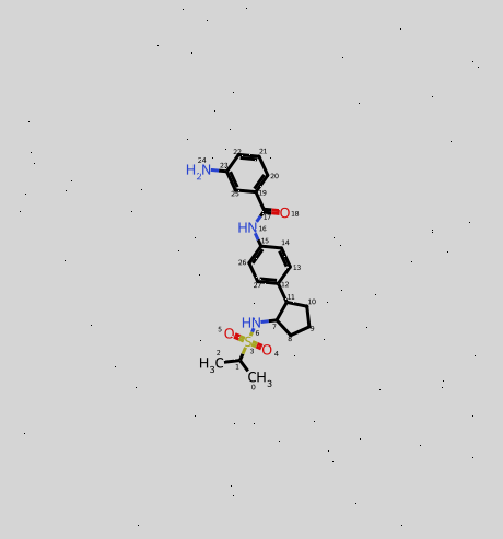 CC(C)S(=O)(=O)NC1CCCC1c1ccc(NC(=O)c2cccc(N)c2)cc1